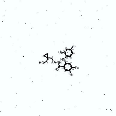 O=C(NOCC1(CO)CC1)c1cc(Br)c(F)cc1Nc1ccc(I)cc1Cl